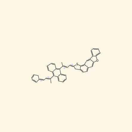 C/C(=C\C=C1\C=CC=CC1)c1c2ccccc2c(/C(C)=C/C=C2\Cc3ccc4cc5oc6ccccc6c5cc4c3S2)c2ccccc12